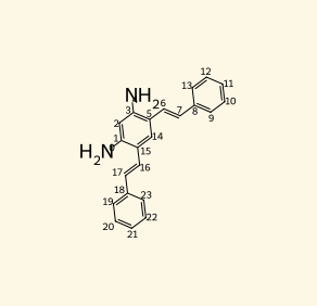 Nc1cc(N)c(C=Cc2ccccc2)cc1C=Cc1ccccc1